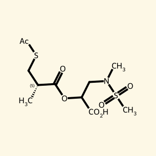 CC(=O)SC[C@@H](C)C(=O)OC(CN(C)S(C)(=O)=O)C(=O)O